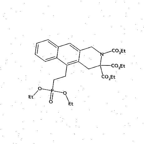 CCOC(=O)N1Cc2cc3ccccc3c(CCP(=O)(OCC)OCC)c2CC1(C(=O)OCC)C(=O)OCC